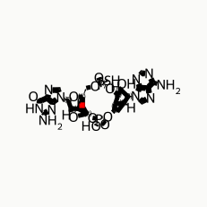 Nc1nc2c(ncn2[C@@H]2O[C@@]34CO[P@@](=O)(S)O[C@H]5[C@@H](O)[C@H](n6cnc7c(N)ncnc76)[C@H]6C[C@]65COP(=O)(O)O[C@@]5(C3)O[C@@H]2[C@@H]45)c(=O)[nH]1